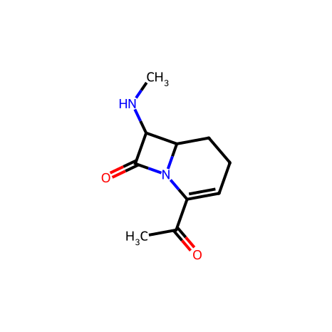 CNC1C(=O)N2C(C(C)=O)=CCCC12